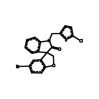 O=C1N(Cc2ccc(Cl)s2)c2ccccc2C12COc1ccc(Br)cc12